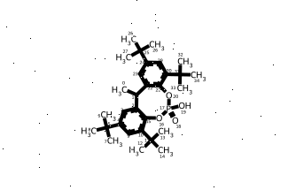 CC1c2cc(C(C)(C)C)cc(C(C)(C)C)c2OP(=O)(O)Oc2c1cc(C(C)(C)C)cc2C(C)(C)C